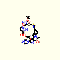 CCn1c(-c2cc(N3CCN(C)CC3)cnc2[C@H](C)OC)c2c3cc(ccc31)-c1csc(n1)C[C@H](NC(=O)OC(C)(C)C)C(=O)N1CCC[C@H](N1)C(=O)OCC(C)(C)C2